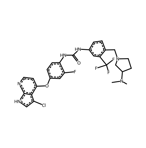 CN(C)C1CCN(Cc2ccc(NC(=O)Nc3ccc(Oc4ccnc5[nH]cc(Cl)c45)cc3F)cc2C(F)(F)F)C1